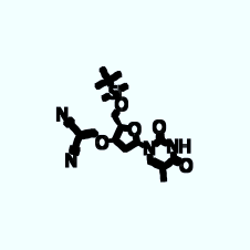 Cc1cn([C@H]2C[C@H](OC=C(C#N)C#N)[C@@H](CO[Si](C)(C)C(C)(C)C)O2)c(=O)[nH]c1=O